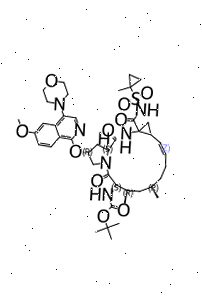 COc1ccc2c(O[C@@H]3C[C@H]4C(=O)NC5(C(=O)NS(=O)(=O)C6(C)CC6)CC5/C=C\CC[C@@H](C)C[C@@H](C)[C@H](NC(=O)OC(C)(C)C)C(=O)N4C3)ncc(N3CCOCC3)c2c1